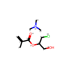 C=C(C)C(=O)OC(CO)CCl.CN(C)C